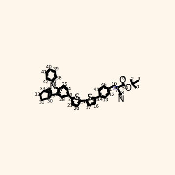 CC(C)(C)OC(=O)/C(C#N)=C/c1ccc(-c2ccc(-c3ccc(-c4ccc5c(c4)C4C6CCC(C6)C4N5c4ccccc4)s3)s2)cc1